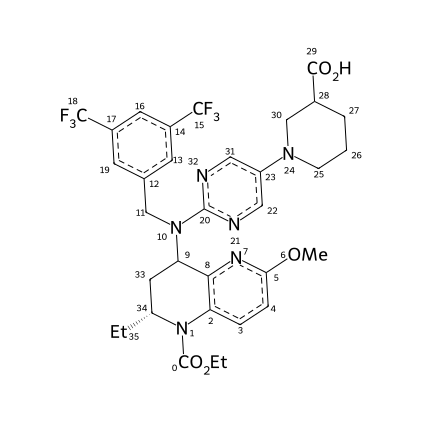 CCOC(=O)N1c2ccc(OC)nc2C(N(Cc2cc(C(F)(F)F)cc(C(F)(F)F)c2)c2ncc(N3CCCC(C(=O)O)C3)cn2)C[C@H]1CC